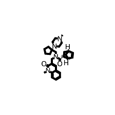 CN1CCN(C2(CN(Cc3cc4ccccc4n(C)c3=O)C(=O)[C@@H]3C[C@@H]4C=C[C@H]3C4)CCCC2)CC1